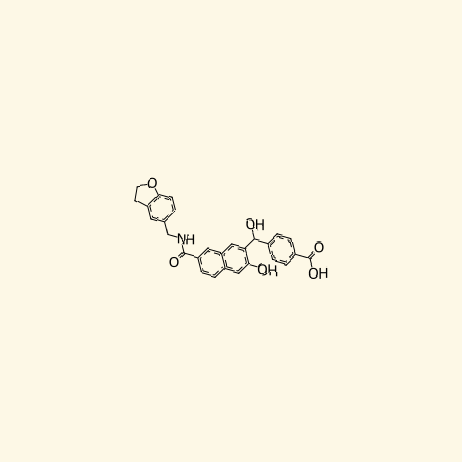 O=C(O)c1ccc(C(O)c2cc3cc(C(=O)NCc4ccc5c(c4)CCO5)ccc3cc2O)cc1